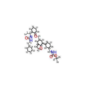 CCC(NC(=O)CCc1ccccc1)c1ccccc1OCc1cc(-c2cccc(CNC(=O)OC(C)(C)C)c2)c2occc2c1